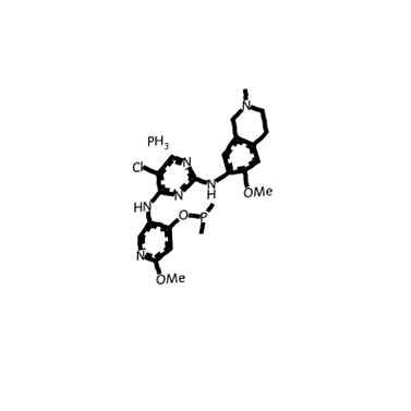 COc1cc(OP(C)C)c(Nc2nc(Nc3cc4c(cc3OC)CCN(C)C4)ncc2Cl)cn1.P